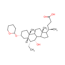 CC[C@H]1[C@@H](O)C2C3CCC([C@H](C)CCC(=O)O)[C@@]3(C)CCC2[C@@]2(C)CC[C@@H](OC3CCCCO3)C[C@@H]12